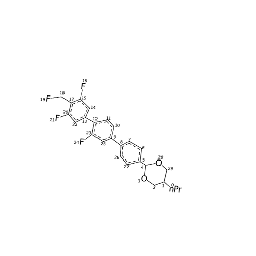 CCCC1COC(c2ccc(-c3ccc(-c4cc(F)c(CF)c(F)c4)c(F)c3)cc2)OC1